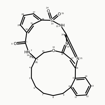 O=C1N[C@@H]2CCCCCCc3ccccc3-c3cc(nc(n3)NS(=O)(=O)c3cccc1c3)OC2